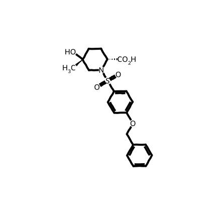 C[C@@]1(O)CC[C@H](C(=O)O)N(S(=O)(=O)c2ccc(OCc3ccccc3)cc2)C1